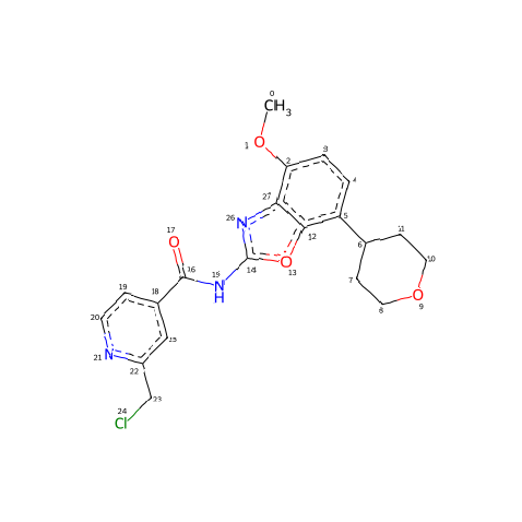 COc1ccc(C2CCOCC2)c2oc(NC(=O)c3ccnc(CCl)c3)nc12